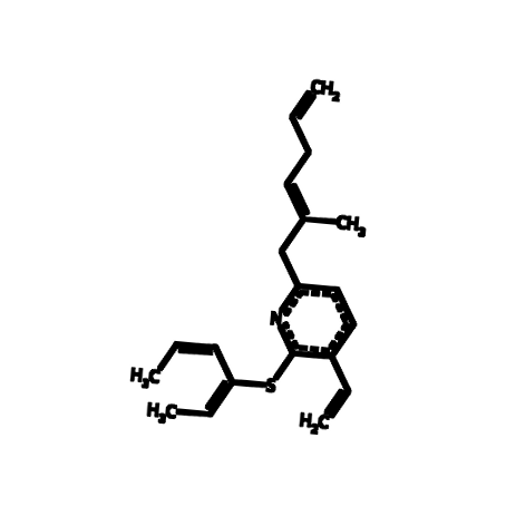 C=CC/C=C(\C)Cc1ccc(C=C)c(SC(/C=C\C)=C/C)n1